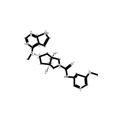 COc1cncc(NC(=O)N2C[C@H]3C[C@H](N(C)c4ncnc5[nH]ccc45)C[C@H]3C2)c1